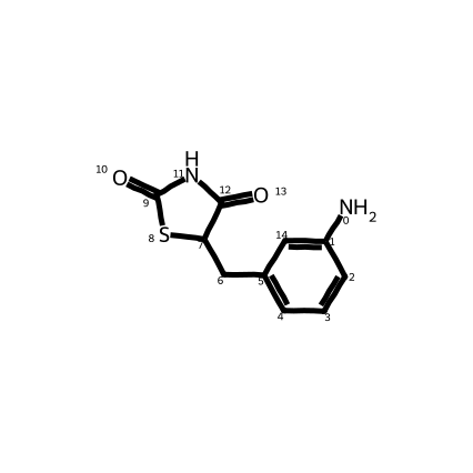 Nc1cccc(CC2SC(=O)NC2=O)c1